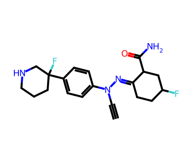 C#CN(/N=C1\CCC(F)CC1C(N)=O)c1ccc(C2(F)CCCNC2)cc1